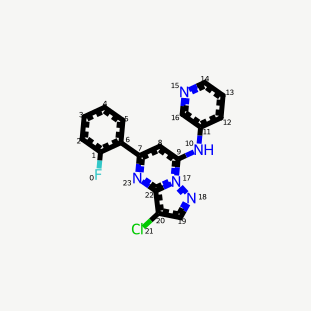 Fc1ccccc1-c1cc(Nc2cccnc2)n2ncc(Cl)c2n1